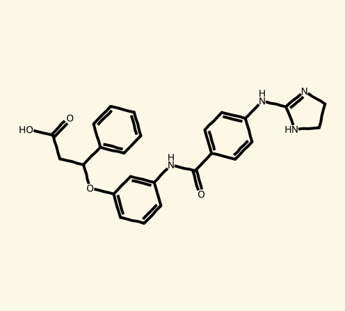 O=C(O)CC(Oc1cccc(NC(=O)c2ccc(NC3=NCCN3)cc2)c1)c1ccccc1